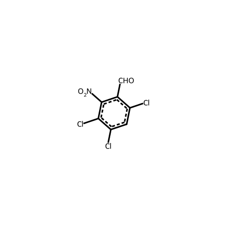 O=Cc1c(Cl)cc(Cl)c(Cl)c1[N+](=O)[O-]